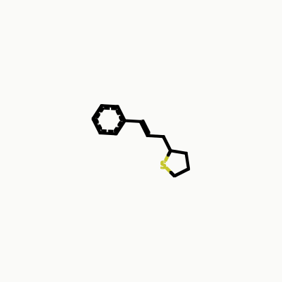 C(=C\c1ccccc1)/CC1CCCS1